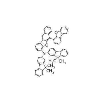 CC1(C)c2ccccc2-c2ccc(N(c3ccc4c(c3)C(C)(C)c3ccccc3-4)c3cccc4c3oc3c(-c5cccc6c5oc5ccccc56)c5ccccc5cc34)cc21